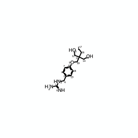 N=C(N)NCc1ccc(OCC(CO)(CO)CI)cc1